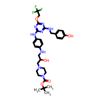 CC(C)(C)OC(=O)N1CCN(CC(O)CNc2ccc(Nc3nc(NCc4ccc(O)cc4)nc(OCC(F)(F)F)n3)cc2)CC1